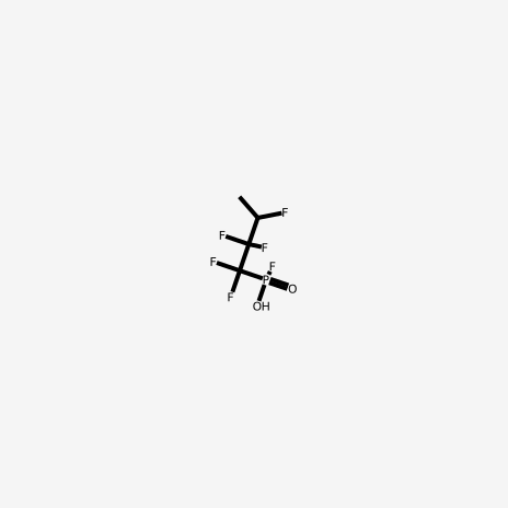 CC(F)C(F)(F)C(F)(F)P(=O)(O)F